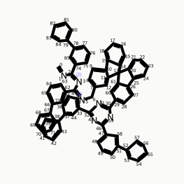 C=N/C(=N\C(=N/Cc1ccc2c(c1)C1(c3ccccc3-2)c2ccccc2-c2ccc(-c3nc(-c4cccc(-c5ccccc5)c4)nc(-c4cccc(-c5ccccc5)c4)n3)cc21)c1cccc(-c2ccccc2)c1)c1cccc(-c2ccccc2)c1